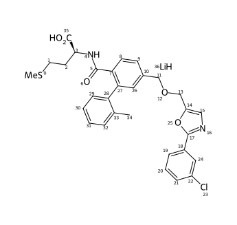 CSCC[C@H](NC(=O)c1ccc(COCc2cnc(-c3cccc(Cl)c3)o2)cc1-c1ccccc1C)C(=O)O.[LiH]